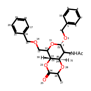 CC(=O)NC1[C@@H](OCc2ccccc2)OC(COCc2ccccc2)[C@H]2OC(=O)C(C)O[C@H]12